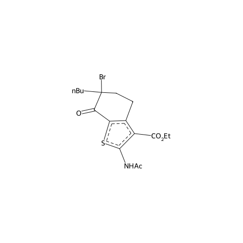 CCCCC1(Br)CCc2c(sc(NC(C)=O)c2C(=O)OCC)C1=O